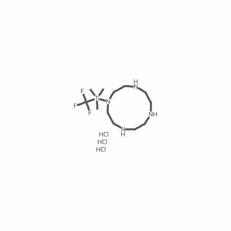 Cl.Cl.Cl.[CH3][Ti]([CH3])([CH3])([N]1CCNCCNCCNCC1)[C](F)(F)F